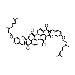 CC(C)=CCC[C@H](C)CCOc1ccc(CN2C(=O)c3ccc4c5c(Cl)cc6c7c(ccc(c8c(Cl)cc(c3c48)C2=O)c75)C(=O)N(Cc2ccc(OCC[C@@H](C)CCC=C(C)C)cc2)C6=O)cc1